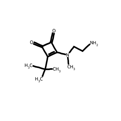 CN(CCN)c1c(C(C)(C)C)c(=O)c1=O